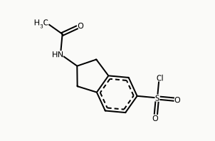 CC(=O)NC1Cc2ccc(S(=O)(=O)Cl)cc2C1